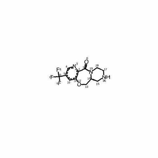 O=C1c2ncc(C(F)(F)F)cc2OCC2CNCCN12